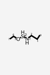 CCCN[SiH2]OCC